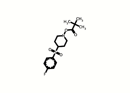 CC(C)(C)C(=O)ON1CCC(S(=O)(=O)c2ccc(F)cc2)CC1